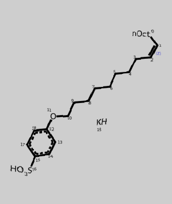 CCCCCCCC/C=C\CCCCCCCCOc1ccc(S(=O)(=O)O)cc1.[KH]